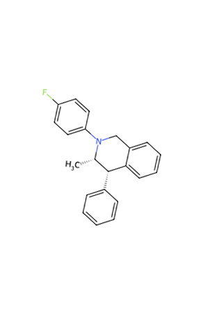 C[C@H]1[C@@H](c2ccccc2)c2ccccc2CN1c1ccc(F)cc1